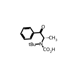 C[C@@H](C(=O)c1ccccc1)N(C(=O)O)C(C)(C)C